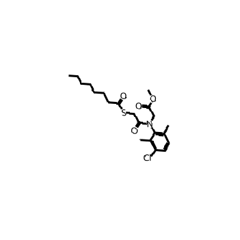 CCCCCCCC(=O)SCC(=O)N(CC(=O)OC)c1c(C)ccc(Cl)c1C